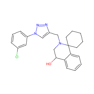 OC1CN(Cc2cn(-c3cccc(Cl)c3)nn2)C2(CCCCC2)c2ccccc21